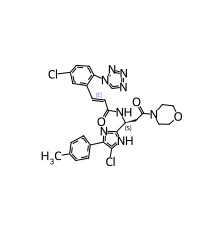 Cc1ccc(-c2nc([C@H](CC(=O)N3CCOCC3)NC(=O)/C=C/c3cc(Cl)ccc3-n3cnnn3)[nH]c2Cl)cc1